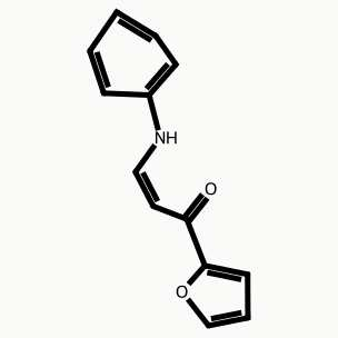 O=C(/C=C\Nc1ccccc1)c1ccco1